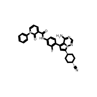 N#C[C@H]1CC[C@H](c2cc(-c3ccc(NC(=O)c4cccn(-c5ccccc5)c4=O)cc3F)c3c(N)ncnn32)CC1